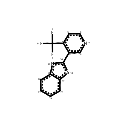 FC(F)(F)c1ccncc1-c1nc2ccccc2s1